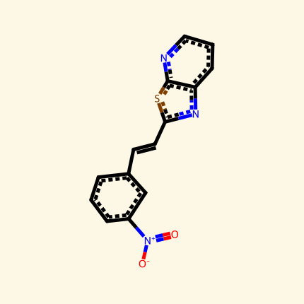 O=[N+]([O-])c1cccc(C=Cc2nc3cccnc3s2)c1